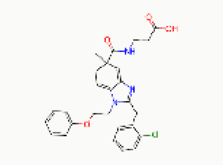 CC1(C(=O)NCCC(=O)O)C=c2nc(Cc3ccccc3Cl)n(CCOc3ccccc3)c2=CC1